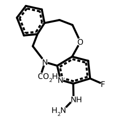 NNc1nc2c(cc1F)OCCc1ccccc1CN2C(=O)O